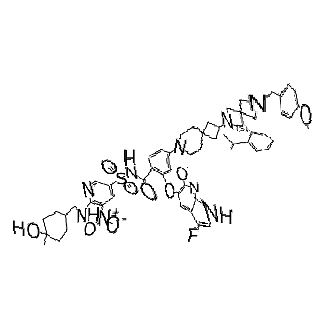 COc1ccc(CN2CC3(C2)CN(C2CC4(CCN(c5ccc(C(=O)NS(=O)(=O)c6cnc(NCC7CCC(C)(O)CC7)c([N+](=O)[O-])c6)c(Oc6cc7c(F)c[nH]c7nc6OC)c5)CC4)C2)[C@H]3c2ccccc2C(C)C)cc1